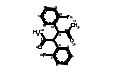 CC(=O)C(c1ccccc1F)C(C(C)=O)c1ccccc1F